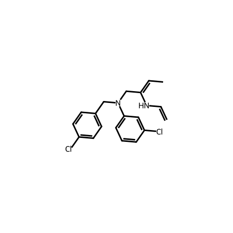 C=CN/C(=C\C)CN(Cc1ccc(Cl)cc1)c1cccc(Cl)c1